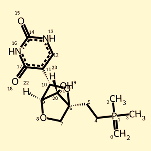 C=P(C)(C)CC[C@@]12CO[C@@H]([C@H](c3c[nH]c(=O)[nH]c3=O)O1)[C@@H]2O